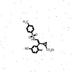 CCOC(=O)C1CC1C(=CNS(=O)(=O)c1ccc(C)cc1)c1cc(C#N)ccc1F